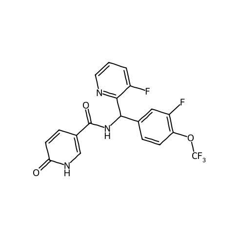 O=C(NC(c1ccc(OC(F)(F)F)c(F)c1)c1ncccc1F)c1ccc(=O)[nH]c1